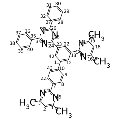 Cc1cc(C)nc(-c2ccc(-c3cc(-c4nc(C)cc(C)n4)cc(-c4nc(-c5ccccc5)nc(-c5ccccc5)n4)c3)cc2)n1